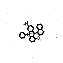 COc1cccc2c1c(-c1cccc3ccccc13)c1ccc(N(C)C)cc1[n+]2-c1ccccc1